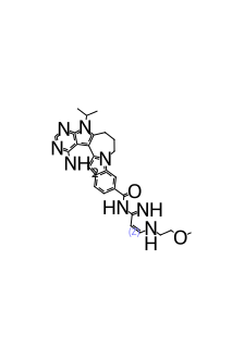 COCCN/C=C\C(=N)NC(=O)c1ccc2cc3n(c2c1)CCCc1c-3c2c(N)ncnc2n1C(C)C